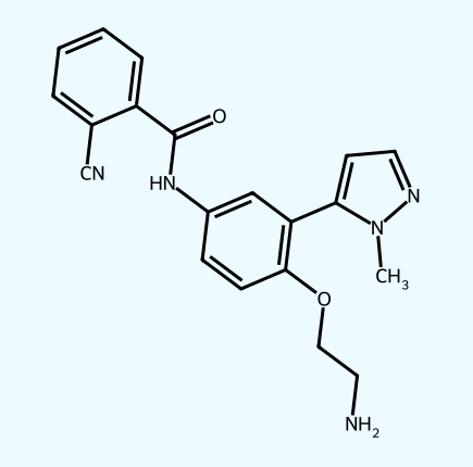 Cn1nccc1-c1cc(NC(=O)c2ccccc2C#N)ccc1OCCN